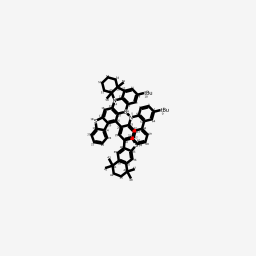 CC(C)(C)c1ccc(N2B3c4cc(C(C)(C)C)cc5c4N(c4cc6sc7ccccc7c6c(c43)-c3cc4c(cc32)sc2cc3c(cc24)C(C)(C)CCC3(C)C)C2(C)CCCCC52C)c(-c2ccccc2)c1